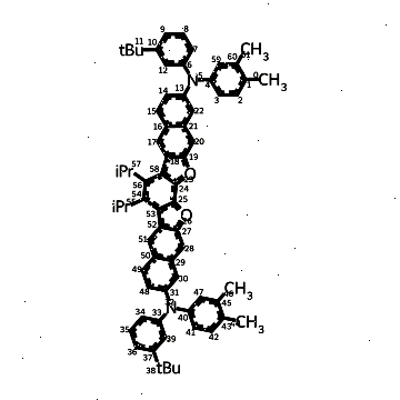 Cc1ccc(N(c2cccc(C(C)(C)C)c2)c2ccc3cc4c(cc3c2)oc2c3oc5cc6cc(N(c7cccc(C(C)(C)C)c7)c7ccc(C)c(C)c7)ccc6cc5c3c(C(C)C)c(C(C)C)c42)cc1C